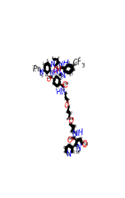 CC(C)N(C)[C@@H]1CC[C@H](N2CC[C@H](Nc3ncnc4ccc(C(F)(F)F)cc34)C2O)[C@H](NC(=O)[C@H]2CC[C@H](C(=O)NCCCOCCCCOCCCNC(=O)[C@H]3CC(=O)N(C)[C@@H]3c3cccnc3)CC2)C1